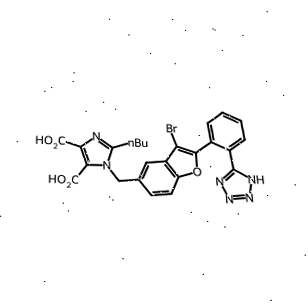 CCCCc1nc(C(=O)O)c(C(=O)O)n1Cc1ccc2oc(-c3ccccc3-c3nnn[nH]3)c(Br)c2c1